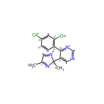 CC1=NC(C)(c2cn[c]nc2-c2ccc(Cl)cc2Cl)N=C1